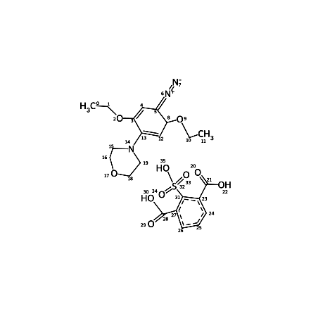 CCOC1=CC(=[N+]=[N-])C(OCC)C=C1N1CCOCC1.O=C(O)c1cccc(C(=O)O)c1S(=O)(=O)O